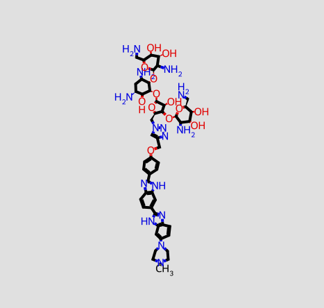 CN1CCN(c2ccc3nc(-c4ccc5nc(-c6ccc(OCc7cn(C[C@H]8O[C@@H](O[C@@H]9C(O)[C@H](N)CC(N)[C@H]9O[C@@H]9OC(CN)[C@@H](O)[C@H](O)C9N)[C@@H](O)C8O[C@H]8O[C@@H](CN)[C@@H](O)C(O)C8N)nn7)cc6)[nH]c5c4)[nH]c3c2)CC1